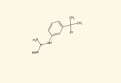 BN(NC)Nc1cccc(C(C)(C)CC)c1